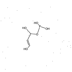 OC=CC(O)OP(O)O